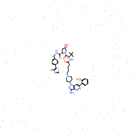 Cc1ncsc1-c1ccc([C@H](C)NC(=O)[C@@H]2C[C@@H](O)CN2C(=O)[C@@H](NC(=O)CCCCN2CCC(n3nc(N)c4nnc(-c5ccccc5O)cc43)CC2)C(C)(C)C)cc1